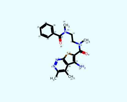 Cc1nnc2sc(C(=O)N(C)CCN(C)C(=O)c3ccccc3)c(N)c2c1C